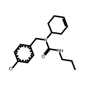 CCCNC(=O)N(Cc1ccc(Cl)cc1)C1CC=CCC1